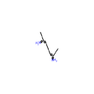 CCCCCCCCCCC(c1ccc(N)cc1)c1ccc(CCCCCCCCCCCCCCc2ccc(C(CCCCCCCCCC)c3ccc(N)cc3)cc2)cc1